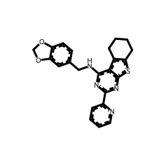 c1ccc(-c2nc(NCc3ccc4c(c3)OCO4)c3c4c(sc3n2)CCCC4)nc1